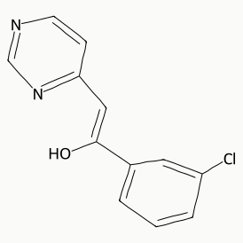 OC(=Cc1ccncn1)c1cccc(Cl)c1